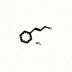 ClCC=Cc1ccccc1.N